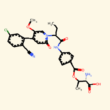 CCC(C(=O)Nc1ccc(C(=O)OC(C)[C@H](N)C(=O)O)cc1)n1cc(OC)c(-c2cc(Cl)ccc2C#N)cc1=O